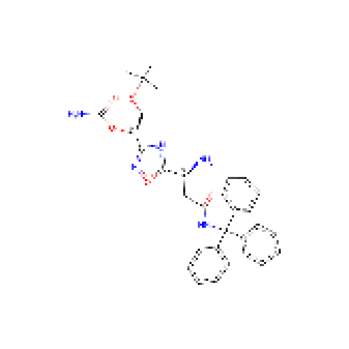 CC(C)(C)OC[C@H](OC(N)=O)c1noc([C@@H](N)CC(=O)NC(c2ccccc2)(c2ccccc2)c2ccccc2)n1